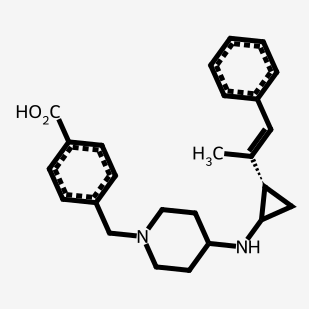 C/C(=C\c1ccccc1)[C@@H]1CC1NC1CCN(Cc2ccc(C(=O)O)cc2)CC1